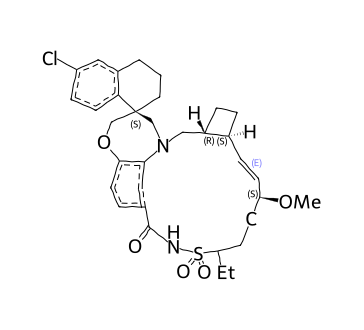 CCC1CC[C@H](OC)/C=C/[C@@H]2CC[C@H]2CN2C[C@@]3(CCCc4cc(Cl)ccc43)COc3ccc(cc32)C(=O)NS1(=O)=O